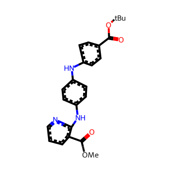 COC(=O)c1cccnc1Nc1ccc(Nc2ccc(C(=O)OC(C)(C)C)cc2)cc1